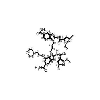 CCn1nc(C)cc1C(=O)Nc1nc2cc(C(N)=O)cnc2n1CC=CCn1c(NC(=O)c2cc(C)nn2CC)nc2cc(C(N)=O)cc(OCCN3CCOCC3)c21